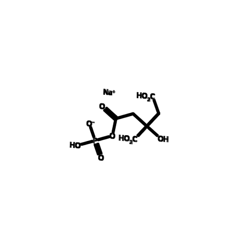 O=C(O)CC(O)(CC(=O)OP(=O)([O-])O)C(=O)O.[Na+]